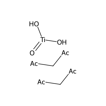 CC(=O)CC(C)=O.CC(=O)CC(C)=O.[O]=[Ti]([OH])[OH]